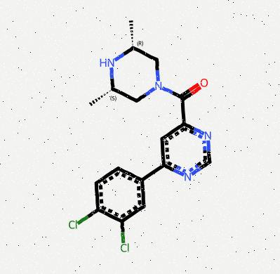 C[C@@H]1CN(C(=O)c2cc(-c3ccc(Cl)c(Cl)c3)ncn2)C[C@H](C)N1